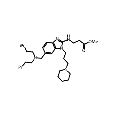 COC(=O)CCNc1nc2ccc(CN(CCC(C)C)CCC(C)C)cc2n1CCCN1CCCCC1